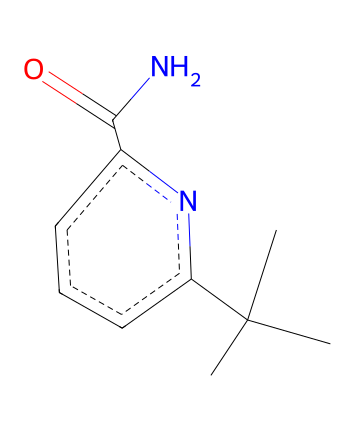 CC(C)(C)c1cccc(C(N)=O)n1